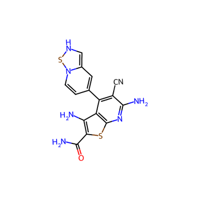 N#Cc1c(N)nc2sc(C(N)=O)c(N)c2c1C1=CC2=CNSN2C=C1